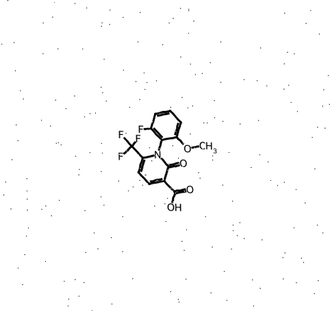 COc1cccc(F)c1-n1c(C(F)(F)F)ccc(C(=O)O)c1=O